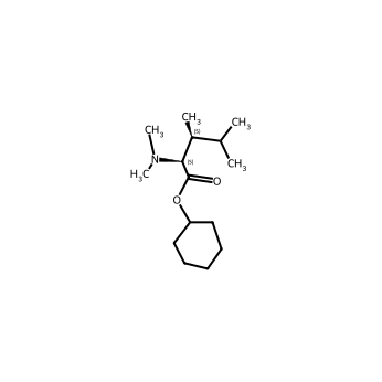 CC(C)[C@H](C)[C@@H](C(=O)OC1CCCCC1)N(C)C